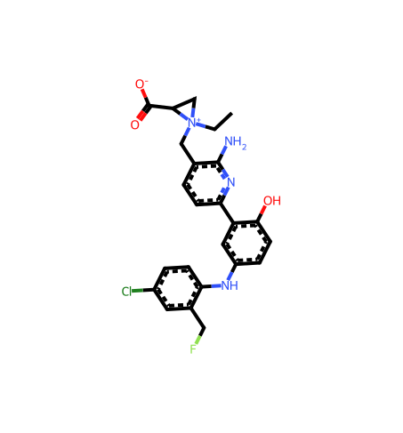 CC[N+]1(Cc2ccc(-c3cc(Nc4ccc(Cl)cc4CF)ccc3O)nc2N)CC1C(=O)[O-]